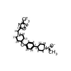 C[S+]([O-])N1CCC(c2ccc(OC3CCN(Cc4nc(C(F)(F)F)no4)CC3)cc2)CC1